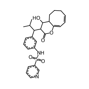 CC(C)C(c1cccc(NS(=O)(=O)c2cccnc2)c1)C1C(=O)OC2=CC=CCCCC2C1O